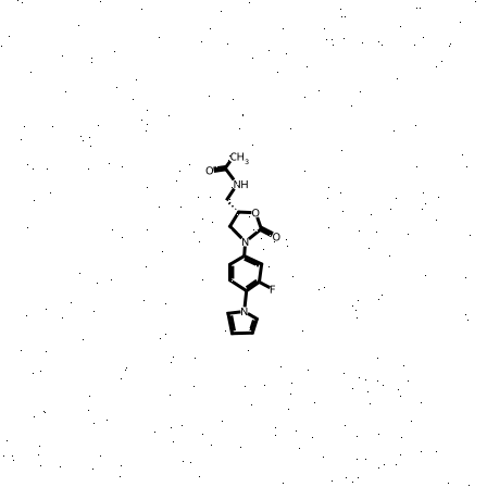 CC(=O)NC[C@H]1CN(c2ccc(-n3cccc3)c(F)c2)C(=O)O1